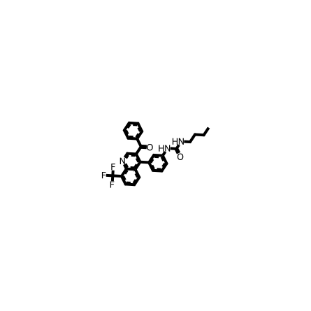 CCCCNC(=O)Nc1cccc(-c2c(C(=O)c3ccccc3)cnc3c(C(F)(F)F)cccc23)c1